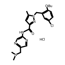 Cc1cc(C(=O)Nc2cnc(CN(C)C)cn2)nn1Cc1cc(Cl)ccc1OCC(C)C.Cl